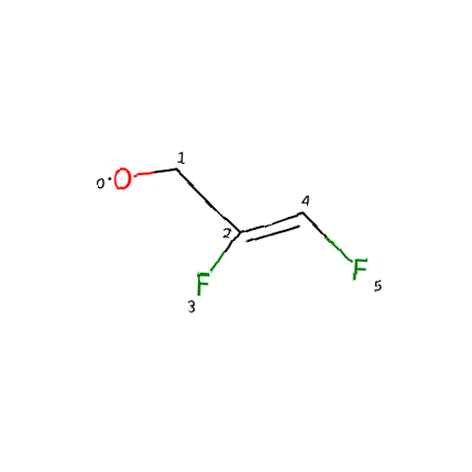 [O]C/C(F)=C/F